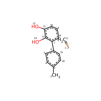 C=S.Cc1ccc(-c2cccc(O)c2O)cc1